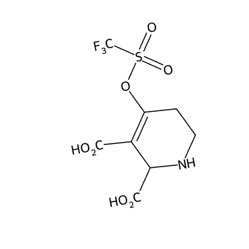 O=C(O)C1=C(OS(=O)(=O)C(F)(F)F)CCNC1C(=O)O